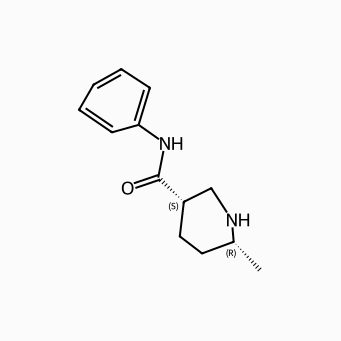 C[C@@H]1CC[C@H](C(=O)Nc2ccccc2)CN1